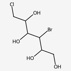 OCC(O)C(Br)C(O)C(O)CCl